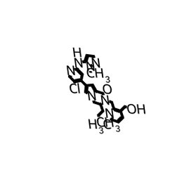 CCCC1Cn2cc(-c3cc(Nc4ccnn4C)ncc3Cl)cc2C(=O)N1Cc1nc(C)ccc1CO